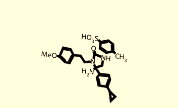 COc1ccc(CCN2C(=O)NCC2(N)c2ccc(C3CC3)cc2)cc1.Cc1ccc(S(=O)(=O)O)cc1